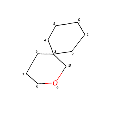 [CH]1CCC2(CC1)CCCOC2